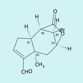 CC(C)[C@@H]1[C@@H]2C(=O)O[C@H]1C[C@@]1(C)C(C=O)=CC[C@@H]21